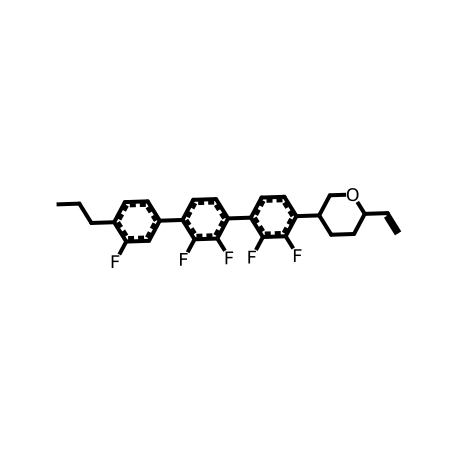 C=CC1CCC(c2ccc(-c3ccc(-c4ccc(CCC)c(F)c4)c(F)c3F)c(F)c2F)CO1